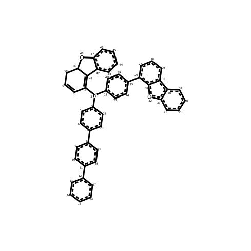 C1=CC(N(c2ccc(-c3ccc(-c4ccccc4)cc3)cc2)c2ccc(-c3cccc4c3oc3ccccc34)cc2)=C2c3ccccc3OC2C1